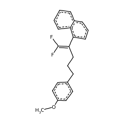 COc1ccc(CCCC(=C(F)F)c2cccc3ccccc23)cc1